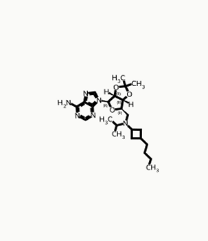 CCCCC1CC(N(C[C@H]2O[C@@H](n3cnc4c(N)ncnc43)[C@@H]3OC(C)(C)O[C@@H]32)C(C)C)C1